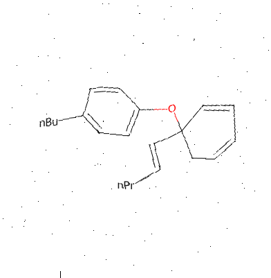 CCCC=CC1(Oc2ccc(CCCC)cc2)C=CC=CC1